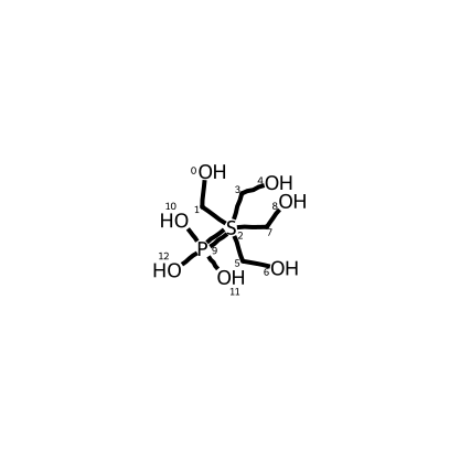 OCS(CO)(CO)(CO)=P(O)(O)O